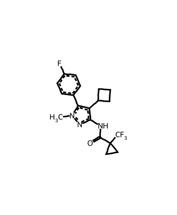 Cn1nc(NC(=O)C2(C(F)(F)F)CC2)c(C2CCC2)c1-c1ccc(F)cc1